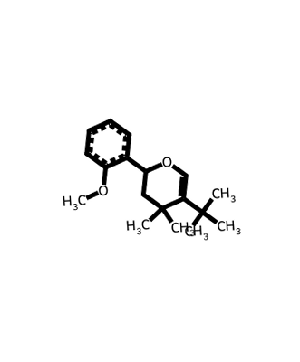 COc1ccccc1C1CC(C)(C)C(C(C)(C)C)=CO1